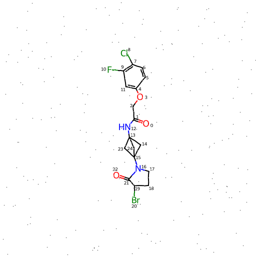 O=C(COc1ccc(Cl)c(F)c1)NC12CC(N3CCC(Br)C3=O)(C1)C2